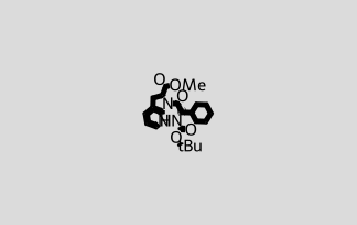 COC(=O)C1Cc2cccnc2N1C(=O)[C@@H](NC(=O)OC(C)(C)C)C1CCCCC1